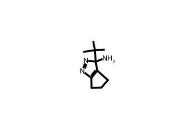 CC(C)(C)C1(N)N=NC2=C1CCC2